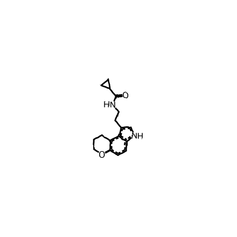 O=C(NCCc1c[nH]c2ccc3c(c12)CCCO3)C1CC1